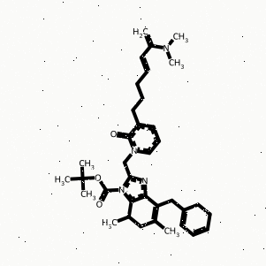 C=C(/C=C/CCCc1cccn(Cc2nc3c(n2C(=O)OC(C)(C)C)C(C)CC(C)=C3CC2=CC=CCC2)c1=O)N(C)C